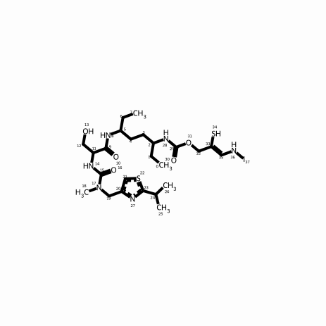 CCC(CCC(CC)NC(=O)C(CO)NC(=O)N(C)Cc1csc(C(C)C)n1)NC(=O)OC/C(S)=C/NI